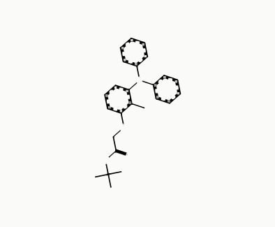 Cc1c(OCC(=O)OC(C)(C)C)cccc1[S+](c1ccccc1)c1ccccc1